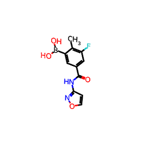 Cc1c(F)cc(C(=O)Nc2ccon2)cc1B(O)O